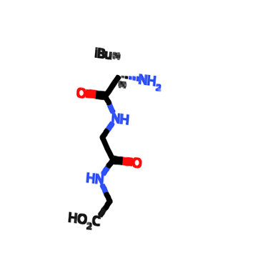 CC[C@H](C)[C@H](N)C(=O)NCC(=O)NCC(=O)O